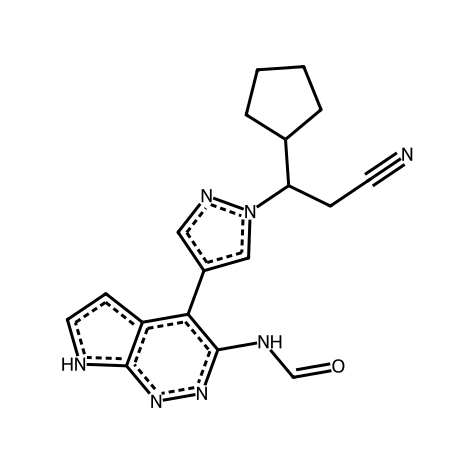 N#CCC(C1CCCC1)n1cc(-c2c(NC=O)nnc3[nH]ccc23)cn1